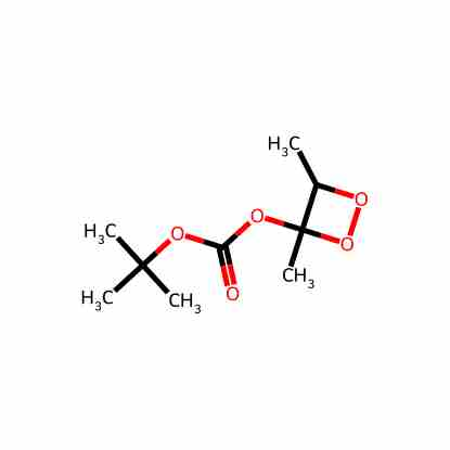 CC1OOC1(C)OC(=O)OC(C)(C)C